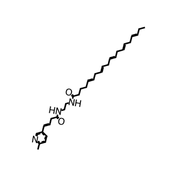 CCC=CCC=CCC=CCC=CCC=CCCCC(=O)NCCNC(=O)CC=Cc1ccc(C)nc1